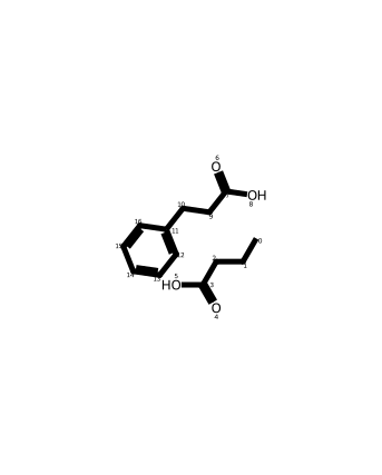 CCCC(=O)O.O=C(O)CCc1ccccc1